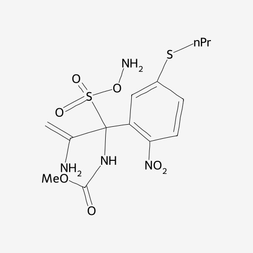 C=C(N)C(NC(=O)OC)(c1cc(SCCC)ccc1[N+](=O)[O-])S(=O)(=O)ON